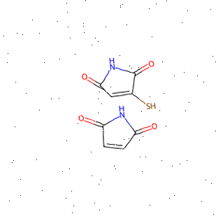 O=C1C=C(S)C(=O)N1.O=C1C=CC(=O)N1